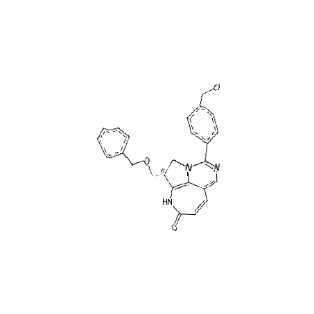 O=C1C=CC2=CN=C(c3ccc(CCl)cc3)N3C[C@@H](COCc4ccccc4)C(=C23)N1